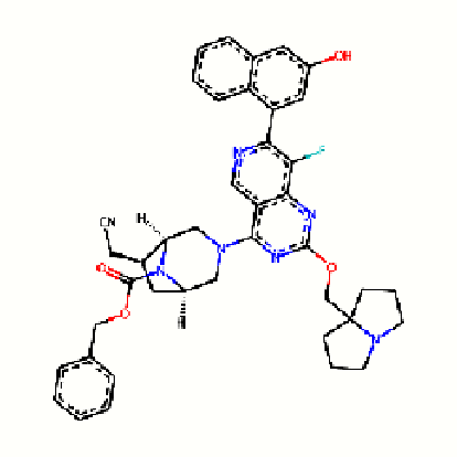 N#CC[C@@H]1C[C@@H]2CN(c3nc(OCC45CCCN4CCC5)nc4c(F)c(-c5cc(O)cc6ccccc56)ncc34)C[C@H]1N2C(=O)OCc1ccccc1